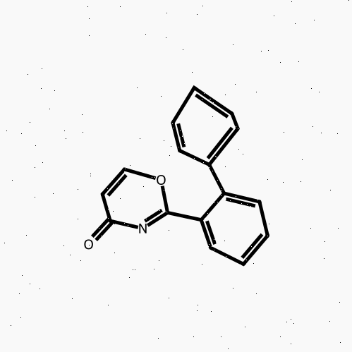 O=c1ccoc(-c2ccccc2-c2ccccc2)n1